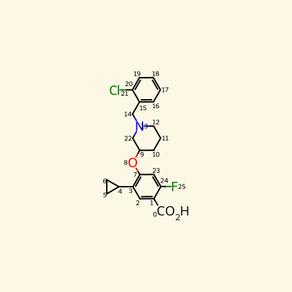 O=C(O)c1cc(C2CC2)c(OC2CCCN(Cc3ccccc3Cl)C2)cc1F